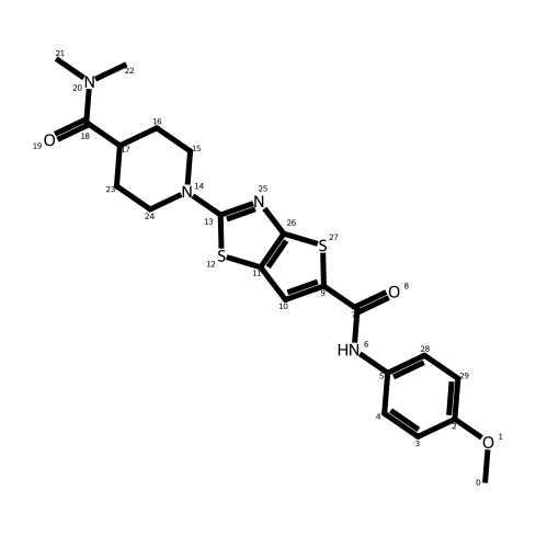 COc1ccc(NC(=O)c2cc3sc(N4CCC(C(=O)N(C)C)CC4)nc3s2)cc1